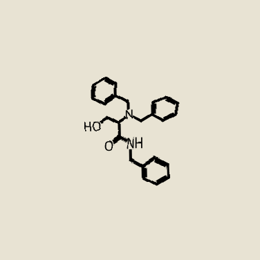 O=C(NCc1ccccc1)C(CO)N(Cc1ccccc1)Cc1ccccc1